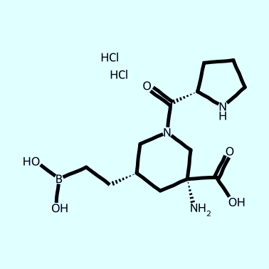 Cl.Cl.N[C@]1(C(=O)O)C[C@H](CCB(O)O)CN(C(=O)[C@@H]2CCCN2)C1